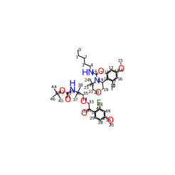 CCCCCNC(=O)N1C(c2ccc(OC)cc2F)COCC1(C)C.COc1ccc(C(=O)COCC(C)(C)NC(=O)OC(C)(C)C)c(F)c1